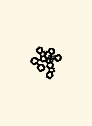 B1c2ccccc2-n2c3ccccc3c3c(-c4ccccc4-c4ccccc4)cc(-c4cc5c(cc4Nc4ccccc4)sc4ccccc45)c1c32